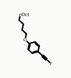 CCCCCCCCCCCCOc1ccc(C#CF)cc1